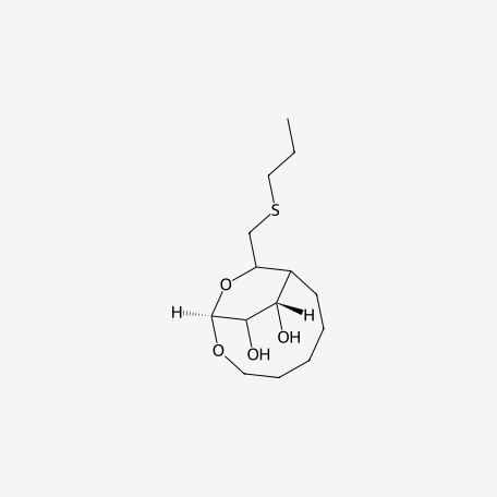 CCCSCC1O[C@@H]2OCCCCCC1[C@H](O)C2O